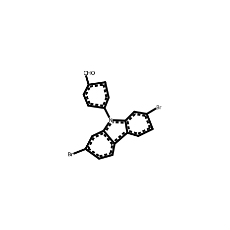 O=Cc1ccc(-n2c3cc(Br)ccc3c3ccc(Br)cc32)cc1